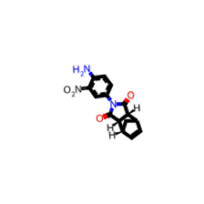 Nc1ccc(N2C(=O)[C@@H]3[C@H](C2=O)C2C=C[C@H]3C2)cc1[N+](=O)[O-]